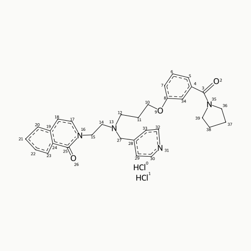 Cl.Cl.O=C(c1cccc(OCCCN(CCn2ccc3ccccc3c2=O)Cc2ccncc2)c1)N1CCCC1